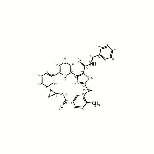 Cc1ccc(C(=O)NC2CC2)cc1Nc1nc(C2=COC=C(C3=CC=CCC3)O2)c(C(=O)NCc2ccccc2)s1